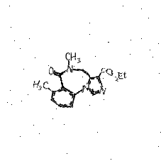 CCOC(=O)c1ncn2c1CN(C)C(=O)c1c(C)cccc1-2